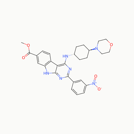 COC(=O)c1ccc2c(c1)[nH]c1nc(-c3cccc([N+](=O)[O-])c3)nc(N[C@H]3CC[C@H](N4CCOCC4)CC3)c12